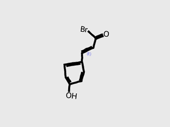 O=C(Br)/C=C/c1ccc(O)cc1